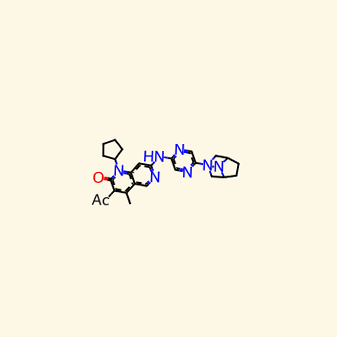 CC(=O)c1c(C)c2cnc(Nc3cnc(N4CC5CCC(C4)N5C)cn3)cc2n(C2CCCC2)c1=O